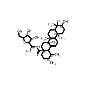 C[C@@H]1CC[C@]2(C(=O)N[C@@H](O)C3OC(CO)[C@H](O)[C@H]3O)CC[C@]3(C)C(=CCC4[C@@]5(C)CC[C@H](O)C(C)(C)C5CC[C@]43C)C2[C@H]1C